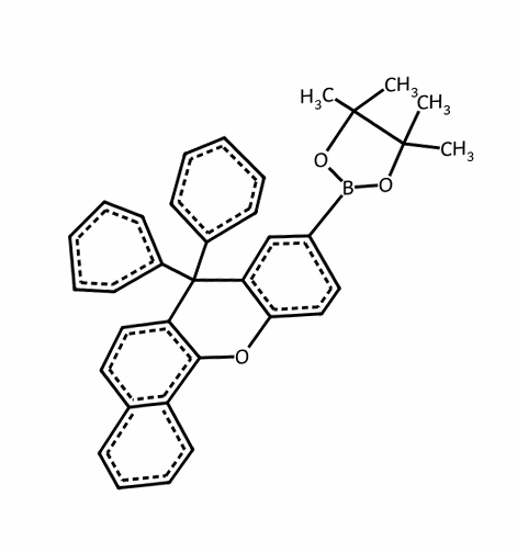 CC1(C)OB(c2ccc3c(c2)C(c2ccccc2)(c2ccccc2)c2ccc4ccccc4c2O3)OC1(C)C